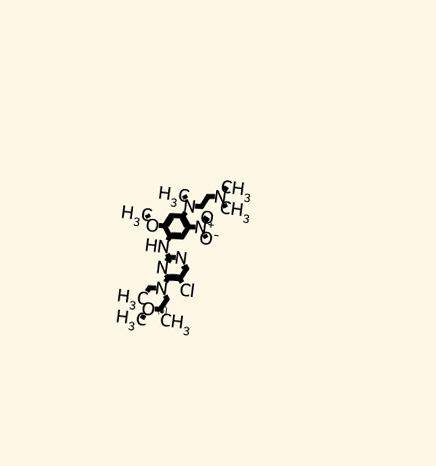 CCN(C[C@H](C)OC)c1nc(Nc2cc([N+](=O)[O-])c(N(C)CCN(C)C)cc2OC)ncc1Cl